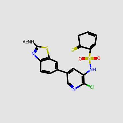 CC(=O)Nc1nc2ccc(-c3cnc(Cl)c(NS(=O)(=O)C4=CC=CCC4=S)c3)cc2s1